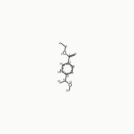 C=C(OCC)c1ccc(C(C)OC)nc1